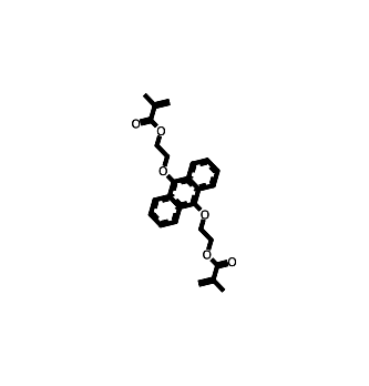 C=C(C)C(=O)OCCOc1c2ccccc2c(OCCOC(=O)C(=C)C)c2ccccc12